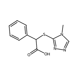 Cn1cnnc1SC(C(=O)O)c1ccccc1